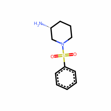 N[C@@H]1CCCN(S(=O)(=O)c2ccccc2)C1